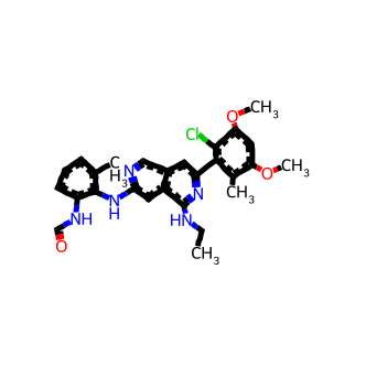 CCNc1nc(-c2c(C)c(OC)cc(OC)c2Cl)cc2cnc(Nc3c(C)cccc3NC=O)cc12